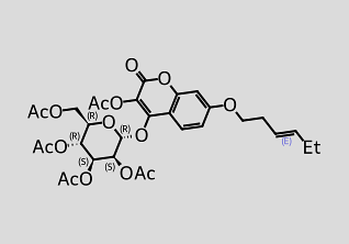 CC/C=C/CCOc1ccc2c(O[C@H]3O[C@H](COC(C)=O)[C@@H](OC(C)=O)[C@H](OC(C)=O)[C@@H]3OC(C)=O)c(OC(C)=O)c(=O)oc2c1